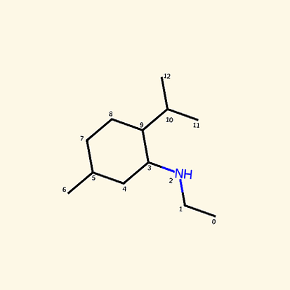 CCNC1CC(C)CCC1C(C)C